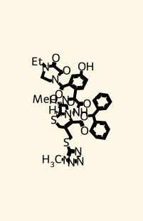 CCN1CCN(C(=O)c2cc(O)ccc2C(N)C(=O)N[N+]23C(=O)[C@@H](OC)[C@@H]2SCC(CSc2nnnn2C)=C3C(=O)OC(c2ccccc2)c2ccccc2)C(=O)C1=O